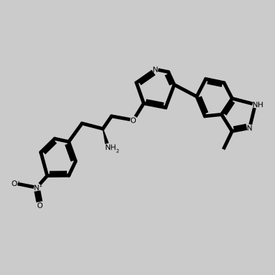 Cc1n[nH]c2ccc(-c3cncc(OC[C@@H](N)Cc4ccc([N+](=O)[O-])cc4)c3)cc12